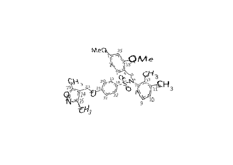 COc1ccc(CN(c2cccc(C)c2C)S(=O)(=O)c2ccc(OCc3c(C)noc3C)cc2)c(OC)c1